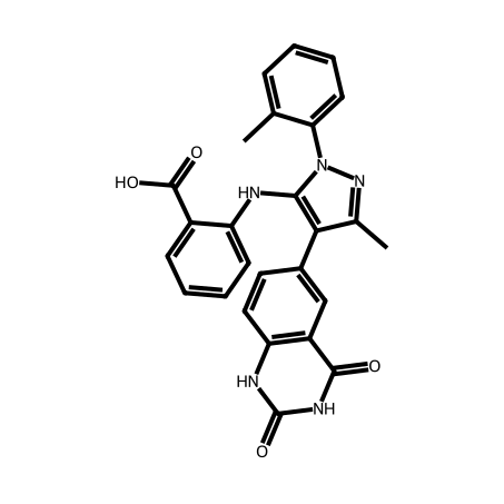 Cc1ccccc1-n1nc(C)c(-c2ccc3[nH]c(=O)[nH]c(=O)c3c2)c1Nc1ccccc1C(=O)O